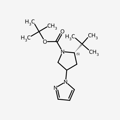 CC(C)(C)OC(=O)N1CC(n2cccn2)C[C@H]1C(C)(C)C